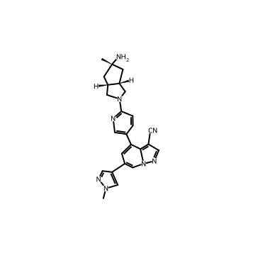 Cn1cc(-c2cc(-c3ccc(N4C[C@@H]5C[C@](C)(N)C[C@@H]5C4)nc3)c3c(C#N)cnn3c2)cn1